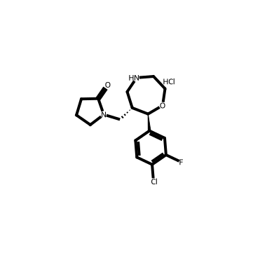 Cl.O=C1CCCN1C[C@@H]1CNCCO[C@H]1c1ccc(Cl)c(F)c1